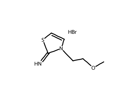 Br.COCCn1ccsc1=N